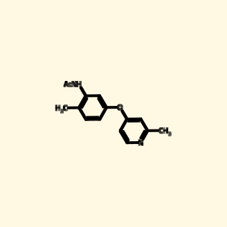 CC(=O)Nc1cc(Oc2ccnc(C)c2)ccc1C